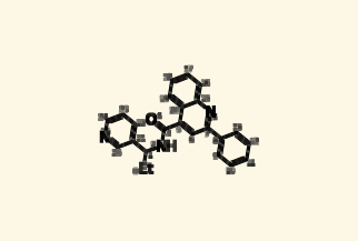 CCC(NC(=O)c1cc(-c2ccccc2)nc2ccccc12)c1cccnc1